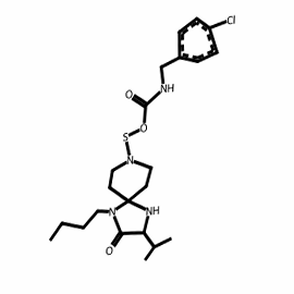 CCCCN1C(=O)C(C(C)C)NC12CCN(SOC(=O)NCc1ccc(Cl)cc1)CC2